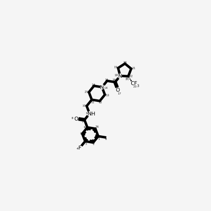 Cc1cc(F)cc(C(=O)NCC2CCN(CC(=O)N3CCC[C@@H]3C(F)(F)F)CC2)c1